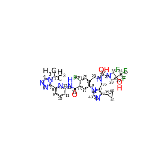 CC(C)n1cnnc1-c1cccc(NC(=O)c2cc3c(cc2F)CN(C(O)N2CC(O)(C(F)(F)F)C2)Cc2c(C4CC4)ncn2-3)n1